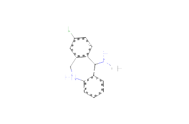 CNC1c2ccc(Cl)cc2CNc2ccccc21